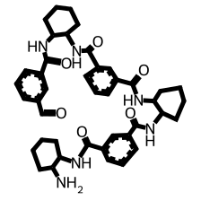 NC1CCCCC1NC(=O)c1cccc(C(=O)NC2CCCCC2NC(=O)c2cccc(C(=O)NC3CCCCC3NC(=O)c3cccc(C=O)c3)c2)c1